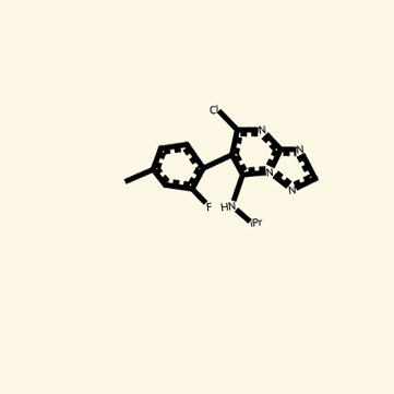 Cc1ccc(-c2c(Cl)nc3ncnn3c2NC(C)C)c(F)c1